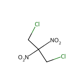 O=[N+]([O-])C(CCl)(CCl)[N+](=O)[O-]